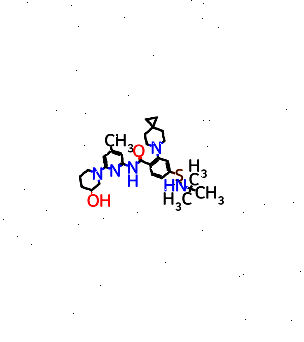 Cc1cc(NC(=O)c2ccc(SNC(C)(C)C)cc2N2CCC3(CC2)CC3)nc(N2CCC[C@@H](O)C2)c1